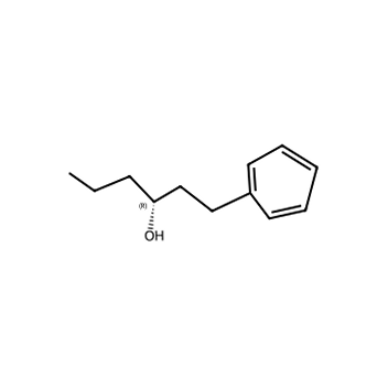 CCC[C@@H](O)CCc1ccccc1